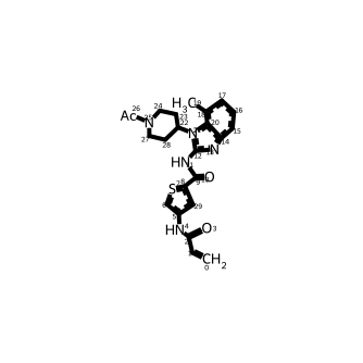 C=CC(=O)Nc1csc(C(=O)Nc2nc3cccc(C)c3n2C2CCN(C(C)=O)CC2)c1